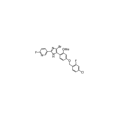 COc1cc(OCc2ccc(Cl)cc2F)ccc1-c1[nH]c(-c2ccc(F)nc2)nc1Br